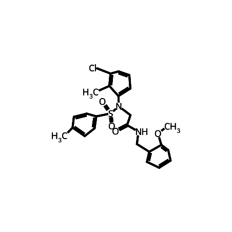 COc1ccccc1CNC(=O)CN(c1cccc(Cl)c1C)S(=O)(=O)c1ccc(C)cc1